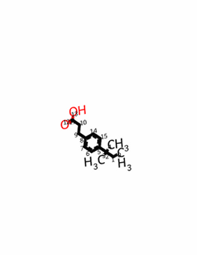 CCC(C)(C)c1ccc(CCC(=O)O)cc1